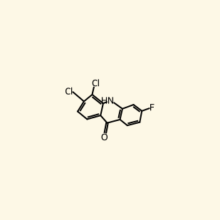 O=c1c2ccc(F)cc2[nH]c2c(Cl)c(Cl)ccc12